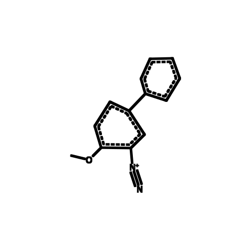 COc1ccc(-c2ccccc2)cc1[N+]#N